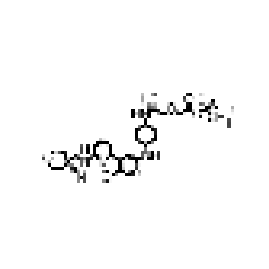 CC(COCC(=O)OC(C)(C)C)N[C@H]1CC[C@H](Nc2cc(-c3cccc(NCC4(C#N)CCOCC4)n3)c(Cl)cn2)CC1